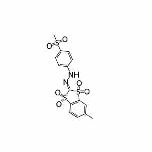 Cc1ccc2c(c1)S(=O)(=O)C(=NNc1ccc(S(C)(=O)=O)cc1)S2(=O)=O